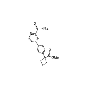 CNC(=O)c1cc(-c2ccc(C3(C(=O)OC)CCC3)cc2)ccn1